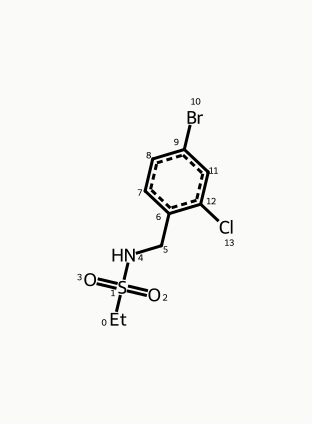 CCS(=O)(=O)NCc1ccc(Br)cc1Cl